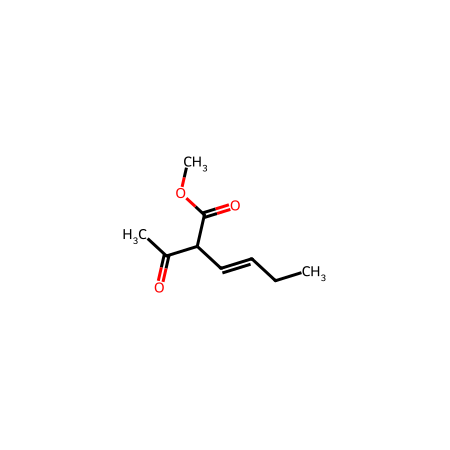 CCC=CC(C(C)=O)C(=O)OC